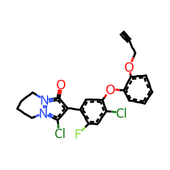 C#CCOc1ccccc1Oc1cc(-c2c(Cl)n3n(c2=O)CCCC3)c(F)cc1Cl